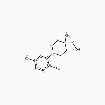 CC1(CO)CCN(c2cc(Cl)ncc2I)CC1